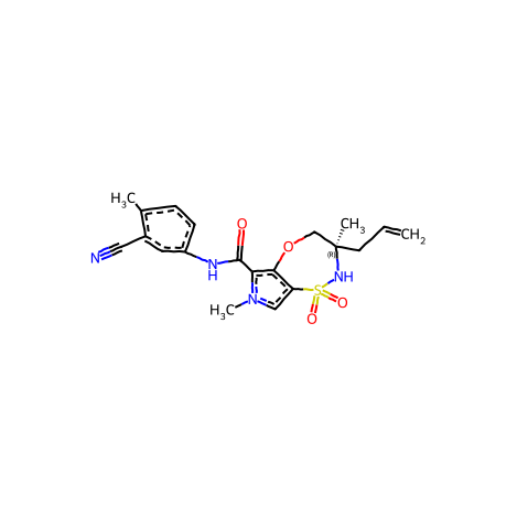 C=CC[C@]1(C)COc2c(cn(C)c2C(=O)Nc2ccc(C)c(C#N)c2)S(=O)(=O)N1